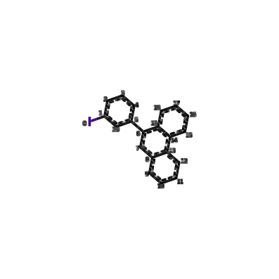 Ic1cccc(-c2cc3ccccc3c3ccccc23)c1